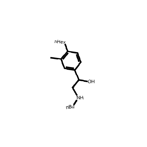 CCCCCCc1ccc(C(O)CNCCCC)cc1C